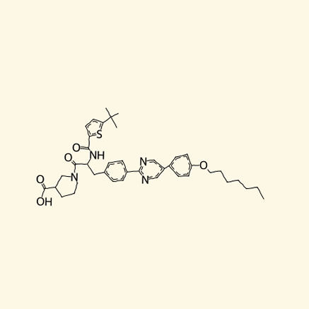 CCCCCCCOc1ccc(-c2cnc(-c3ccc(CC(NC(=O)c4ccc(C(C)(C)C)s4)C(=O)N4CCCC(C(=O)O)C4)cc3)nc2)cc1